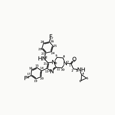 O=C(CNC1CC1)N1CCn2c(nc(-c3ccc(F)cc3)c2Nc2ccc(F)cc2)C1